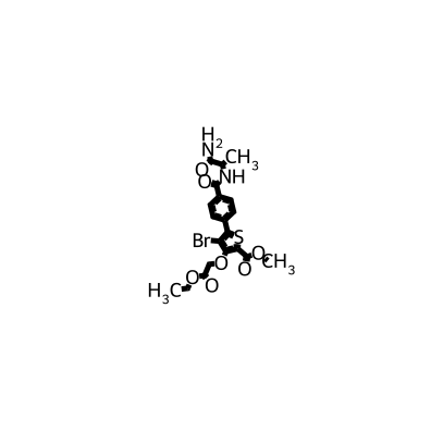 CCOC(=O)COc1c(C(=O)OC)sc(-c2ccc(C(=O)NC(C)C(N)=O)cc2)c1Br